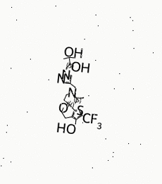 C[C@H]1C[C@@]2(CCN1Cc1cnn(C[C@H](O)C(C)(C)O)c1)OCCc1c2sc(C(F)(F)F)c1CO